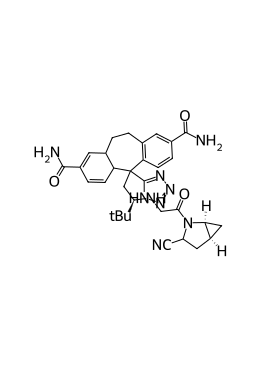 CC(C)(C)[C@@H](CC1(c2nnn[nH]2)c2ccc(C(N)=O)cc2CCC2C=C(C(N)=O)C=CC21)NCC(=O)N1C(C#N)C[C@@H]2C[C@@H]21